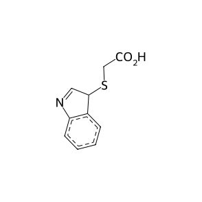 O=C(O)CSC1C=Nc2ccccc21